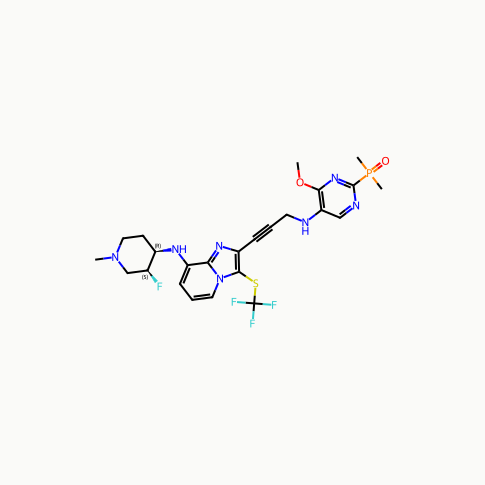 COc1nc(P(C)(C)=O)ncc1NCC#Cc1nc2c(N[C@@H]3CCN(C)C[C@@H]3F)cccn2c1SC(F)(F)F